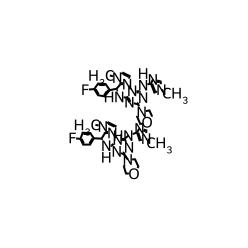 Cn1cnc(Nc2nc(N[C@@H](c3ccc(F)cc3)c3nccn3C)nc(N3CCOCC3)n2)c1.Cn1cnc(Nc2nc(N[C@H](c3ccc(F)cc3)c3nccn3C)nc(N3CCOCC3)n2)c1